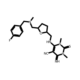 CN(Cc1ccc(F)cc1)CC1CCC(CNc2c(C#N)c(=N)n(C)c(=S)n2C)O1